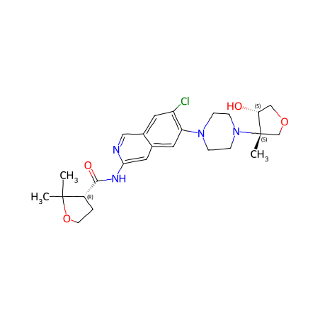 CC1(C)OCC[C@H]1C(=O)Nc1cc2cc(N3CCN([C@@]4(C)COC[C@H]4O)CC3)c(Cl)cc2cn1